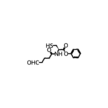 O=CCCCC(=O)N[C@@H](CS)C(=O)Oc1ccccc1